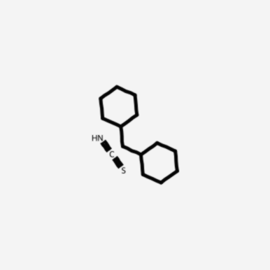 C1CCC(CC2CCCCC2)CC1.N=C=S